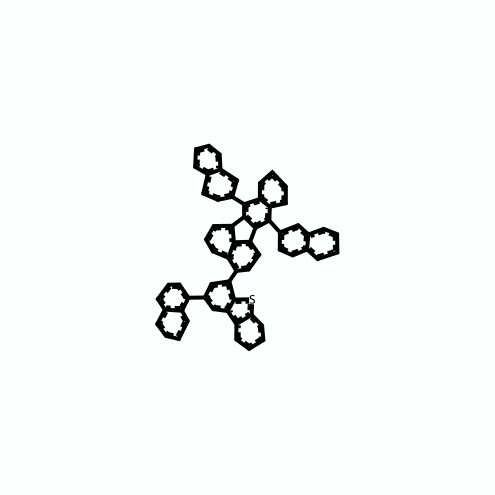 c1ccc2cc(-c3c4c(c(-c5ccc6ccccc6c5)c5ccccc35)-c3ccc(-c5cc(-c6cccc7ccccc67)cc6c5sc5ccccc56)c5cccc-4c35)ccc2c1